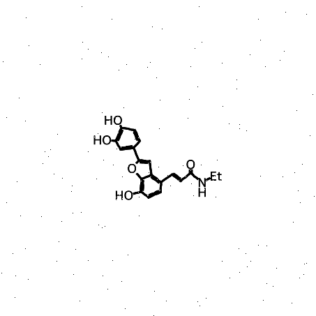 CCNC(=O)/C=C/c1ccc(O)c2oc(-c3ccc(O)c(O)c3)cc12